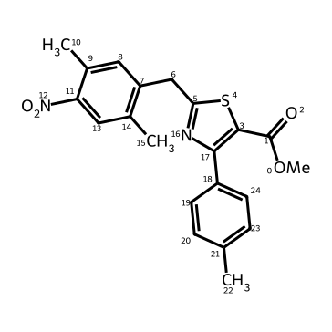 COC(=O)c1sc(Cc2cc(C)c([N+](=O)[O-])cc2C)nc1-c1ccc(C)cc1